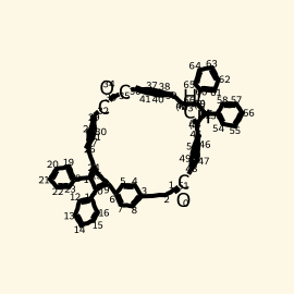 O=C1Cc2ccc(cc2)C2=C(c3ccccc3)C(c3ccccc3)=C(C2)c2ccc(cc2)CC(=O)Cc2ccc(cc2)[C@@H]2C[C@H](c3ccc(cc3)C1)C(c1ccccc1)[C@@H]2c1ccccc1